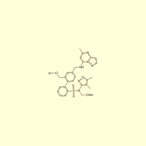 CCOCc1cc(CNc2cc(C)nc3ccnn23)ccc1-c1ccccc1S(=O)(=O)N(COC)c1noc(C)c1C